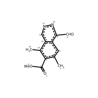 COC(=O)c1c(C)cc2c(C=O)nncc2c1C